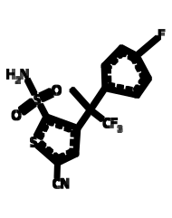 CC(c1ccc(F)cc1)(c1cc(C#N)sc1S(N)(=O)=O)C(F)(F)F